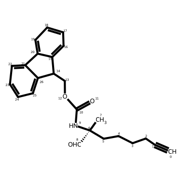 C#CCCCC[C@@](C)(C=O)NC(=O)OCC1c2ccccc2-c2ccccc21